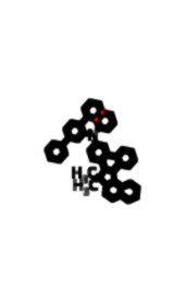 CC1(C)c2ccc3ccccc3c2-c2c1c1ccc(N(c3ccccc3)c3cc(-c4ccccc4)ccc3-c3ccccc3)cc1c1ccccc21